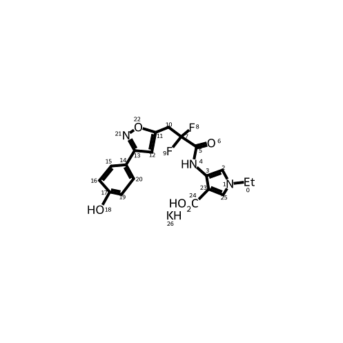 CCn1cc(NC(=O)C(F)(F)Cc2cc(-c3ccc(O)cc3)no2)c(C(=O)O)c1.[KH]